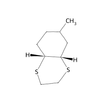 CC1CC[C@H]2SCCS[C@H]2C1